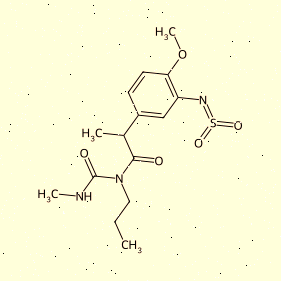 CCCN(C(=O)NC)C(=O)C(C)c1ccc(OC)c(N=S(=O)=O)c1